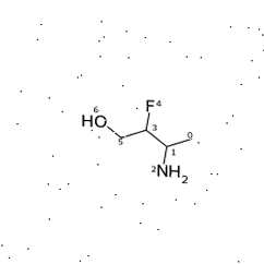 CC(N)C(F)CO